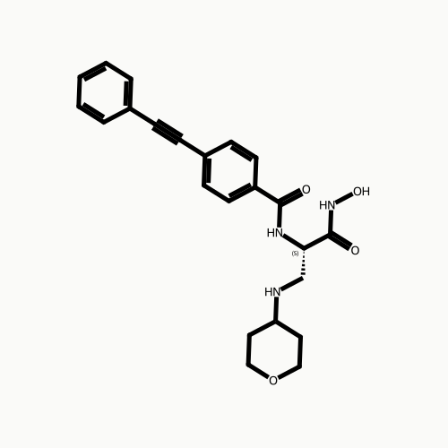 O=C(N[C@@H](CNC1CCOCC1)C(=O)NO)c1ccc(C#Cc2ccccc2)cc1